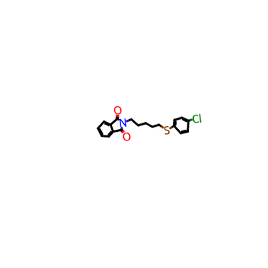 O=C1c2ccccc2C(=O)N1CCCCCSc1ccc(Cl)cc1